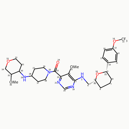 COc1c(NC[C@H]2CCC[C@@H](c3ccc(OC(F)(F)F)cc3)O2)ncnc1C(=O)N1CCC(NC2CCOCC2OC)CC1